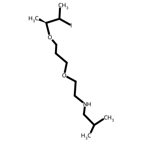 CC(C)CNCCOCCCO[C@@H](C)C(C)I